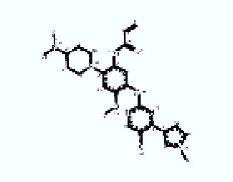 C=CC(=O)Nc1cc(Nc2ncc(Cl)c(-c3ccn(C)c3)n2)c(OC)cc1N1CCC(N(C)C)CC1